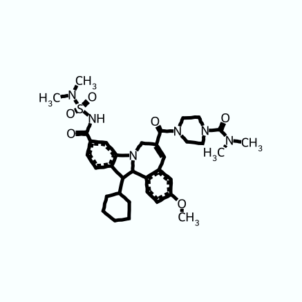 COc1ccc2c(c1)C=C(C(=O)N1CCN(C(=O)N(C)C)CC1)CN1c3cc(C(=O)NS(=O)(=O)N(C)C)ccc3C(C3CCCCC3)C21